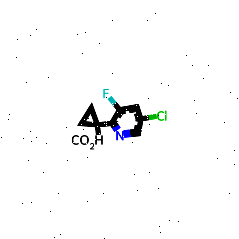 O=C(O)C1(c2ncc(Cl)cc2F)CC1